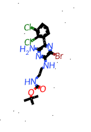 CC(C)(C)OC(=O)NCCNc1nc(N)c(-c2cccc(Cl)c2Cl)nc1Br